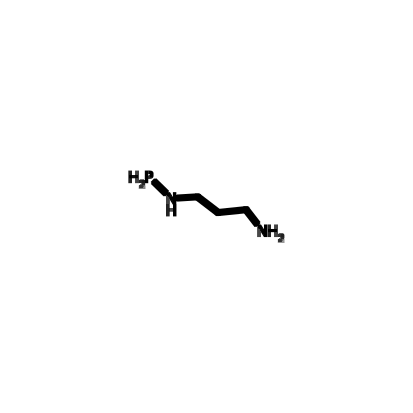 NCCCNP